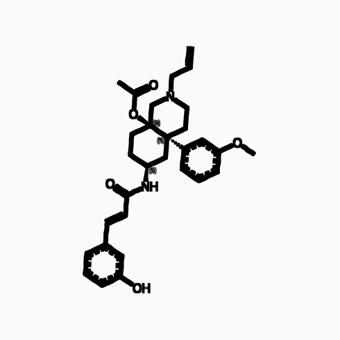 C=CCN1CC[C@@]2(c3cccc(OC)c3)C[C@@H](NC(=O)C=Cc3cccc(O)c3)CC[C@]2(OC(C)=O)C1